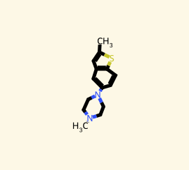 Cc1cc2cc(N3CCN(C)CC3)ccc2s1